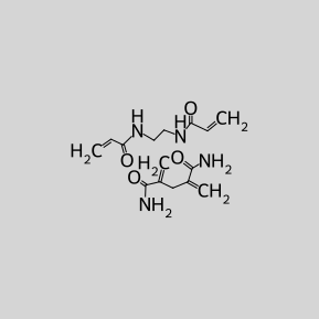 C=C(CC(=C)C(N)=O)C(N)=O.C=CC(=O)NCCNC(=O)C=C